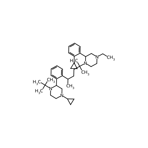 CCN1CCN(C(C)(C)CCC(C)c2ccccc2C2CN(C3CC3)CCN2C(C)(C)C)C(c2ccccc2C2CC2)C1